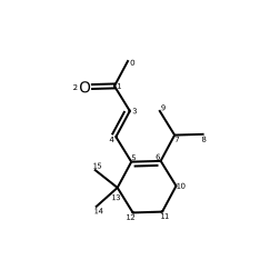 CC(=O)C=CC1=C(C(C)C)CCCC1(C)C